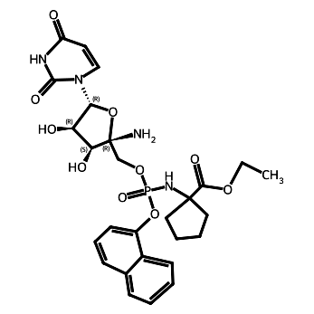 CCOC(=O)C1(NP(=O)(OC[C@@]2(N)O[C@@H](n3ccc(=O)[nH]c3=O)[C@H](O)[C@@H]2O)Oc2cccc3ccccc23)CCCC1